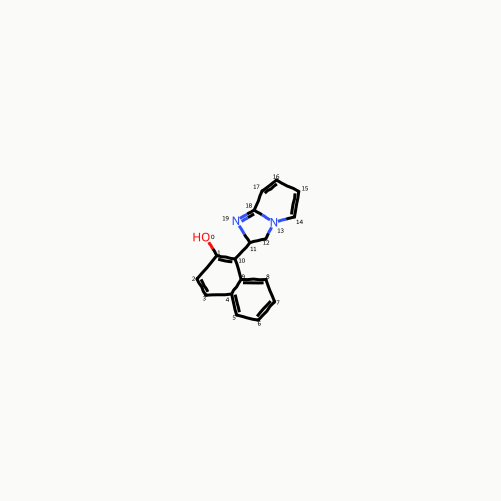 Oc1ccc2ccccc2c1C1CN2C=CC=CC2=N1